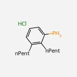 CCCCCc1cccc(P)c1CCCCC.Cl